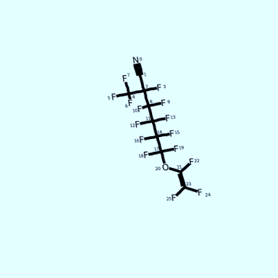 N#CC(F)(C(F)(F)F)C(F)(F)C(F)(F)C(F)(F)C(F)(F)OC(F)=C(F)F